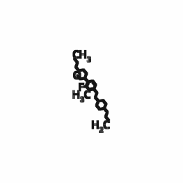 C=CCCC1CCC(CCc2ccc(C3CCC(CCCC)OC3)c(F)c2C)CC1